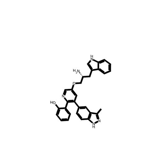 Cc1n[nH]c2ccc(-c3cc(OC[C@H](N)Cc4c[nH]c5ccccc45)cnc3-c3ccccc3O)cc12